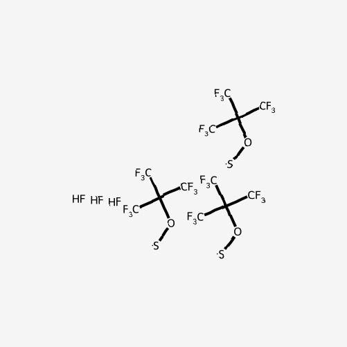 F.F.F.FC(F)(F)C(O[S])(C(F)(F)F)C(F)(F)F.FC(F)(F)C(O[S])(C(F)(F)F)C(F)(F)F.FC(F)(F)C(O[S])(C(F)(F)F)C(F)(F)F